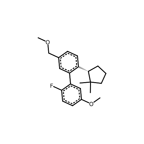 COCc1ccc([C@@H]2CCCC2(C)C)c(-c2cc(OC)ccc2F)c1